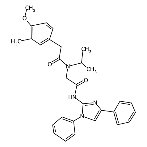 COc1ccc(CC(=O)N(CC(=O)Nc2nc(-c3ccccc3)cn2-c2ccccc2)C(C)C)cc1C